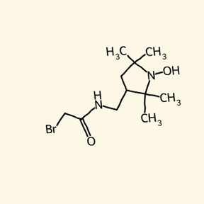 CC1(C)CC(CNC(=O)CBr)C(C)(C)N1O